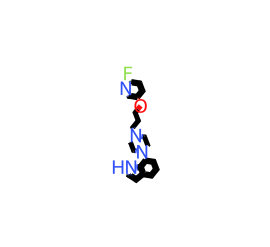 Fc1ccc(OCCCN2CCN(c3cccc4cc[nH]c34)CC2)cn1